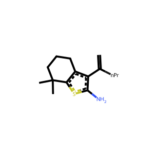 C=C(CCC)c1c(N)sc2c1CCCC2(C)C